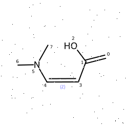 C=C(O)/C=C\N(C)C